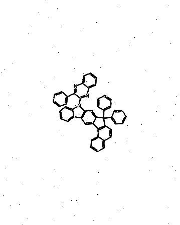 c1ccc(-c2nc3ccccc3nc2-n2c3ccccc3c3cc4c(cc32)C(c2ccccc2)(c2ccccc2)c2ccc3ccccc3c2-4)cc1